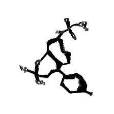 CC1(C)CC(c2ccc(F)cc2)c2ccc(NS(C)(=O)=O)cc2O1